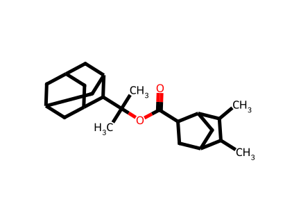 CC1C2CC(C(=O)OC(C)(C)C3C4CC5CC(C4)CC3C5)C(C2)C1C